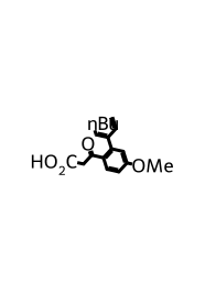 C=CC(=CCCCC)c1cc(OC)ccc1C(=O)CC(=O)O